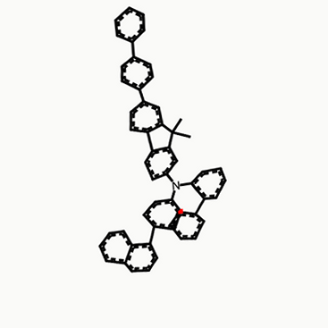 CC1(C)c2cc(-c3ccc(-c4ccccc4)cc3)ccc2-c2ccc(N(c3ccc(-c4cccc5ccccc45)cc3)c3ccccc3-c3ccccc3)cc21